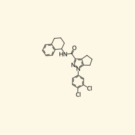 O=C(NC1CCCc2ccccc21)c1nn(-c2ccc(Cl)c(Cl)c2)c2c1CCC2